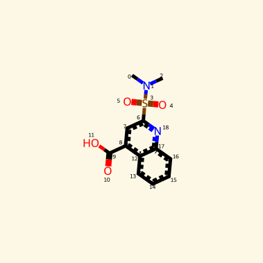 CN(C)S(=O)(=O)c1cc(C(=O)O)c2ccccc2n1